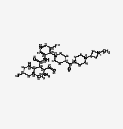 CN1CC(N2CCN(C(=O)C3CCN(c4c(F)cncc4NC(=O)C(C(N)N=O)C4NCC(F)CN4C)CC3)CC2)C1